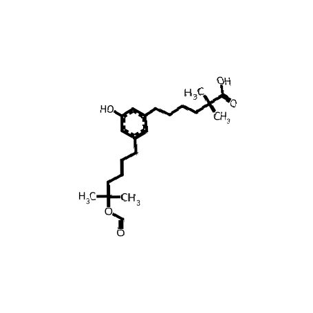 CC(C)(CCCCc1cc(O)cc(CCCCC(C)(C)C(=O)O)c1)OC=O